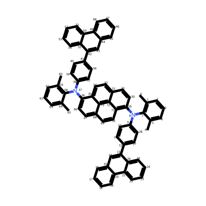 Cc1cccc(C)c1N(c1ccc(-c2cc3ccccc3c3ccccc23)cc1)c1ccc2ccc3c(N(c4ccc(-c5cc6ccccc6c6ccccc56)cc4)c4c(C)cccc4C)ccc4ccc1c2c43